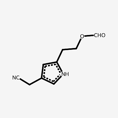 N#CCc1c[nH]c(CCOC=O)c1